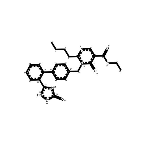 CCCCc1ncc(C(=O)OCC)c(=O)n1Cc1ccc(-c2ccccc2-c2nc(=O)o[nH]2)cc1